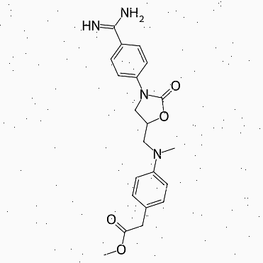 COC(=O)Cc1ccc(N(C)CC2CN(c3ccc(C(=N)N)cc3)C(=O)O2)cc1